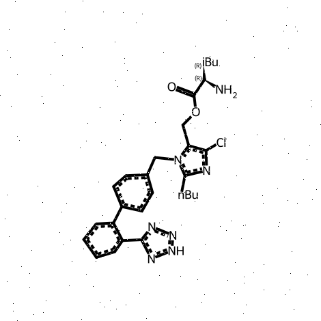 CCCCc1nc(Cl)c(COC(=O)[C@H](N)[C@H](C)CC)n1Cc1ccc(-c2ccccc2-c2nn[nH]n2)cc1